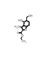 CCOC(=O)c1oc2ccc(CO)c(O)c2c1C